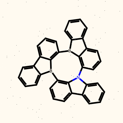 c1ccc2c(c1)B1c3c(cccc3-2)B2c3ccccc3-c3cccc(c32)-n2c3ccccc3c3cccc1c32